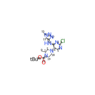 CC1CN(c2cnc(Cl)nc2Nc2cn(C)nn2)CCN1C(=O)OC(C)(C)C